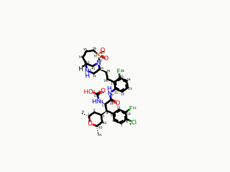 C[C@@H]1CC([C@H](c2ccc(Cl)c(F)c2)[C@H](NC(=O)O)C(=O)Nc2cccc(F)c2CC[C@H]2CN[C@@H]3CCCS(=O)(=O)N2C3)C[C@H](C)O1